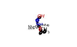 COc1cc(OCc2cccc(-c3ccccc3)c2C)cc(OC)c1CNCCCN1CCN(c2cccc(O)c2)CC1